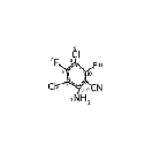 N#Cc1c(N)c(Cl)c(F)c(Cl)c1F